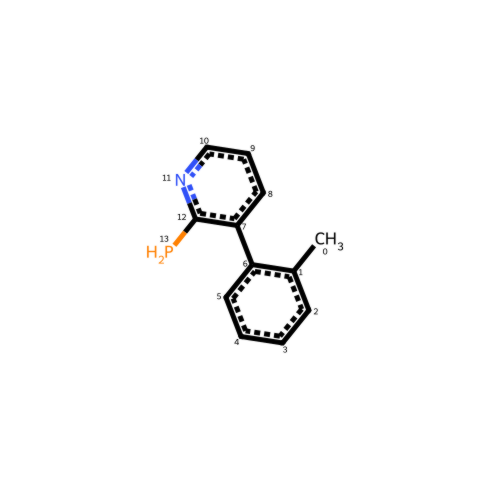 Cc1ccccc1-c1cccnc1P